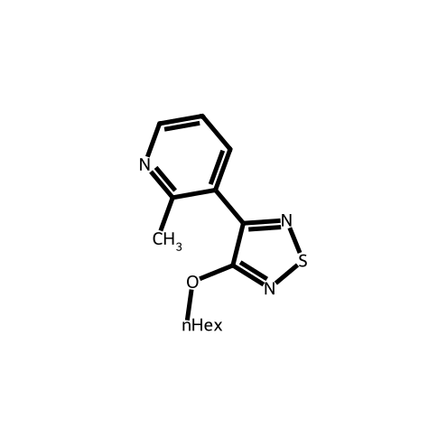 CCCCCCOc1nsnc1-c1cccnc1C